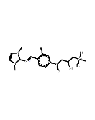 CCN(CC(O)C[N+](C)(CC)CC)c1ccc(/N=N/C2N(C)C=CN2C)c(C)c1